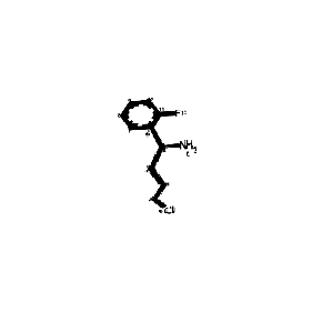 N[C@@H](CCCCl)c1ccccc1F